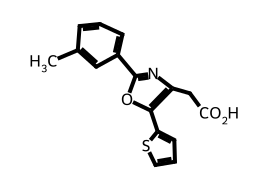 Cc1cccc(-c2nc(CC(=O)O)c(-c3cccs3)o2)c1